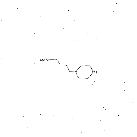 CNCCCCN1CCNCC1